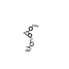 COc1ccc(C2CN(C)Cc3cc(OCC4CN(C(=O)OC(C)(C)C)CCO4)ccc32)cc1